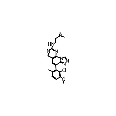 COc1ccc(C)c(-c2cc3cnc(NCCN(C)C)nc3n3cnnc23)c1Cl